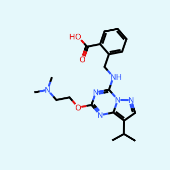 CC(C)c1cnn2c(NCc3ccccc3C(=O)O)nc(OCCN(C)C)nc12